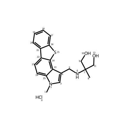 Cl.Cn1cc(CNC(C)(CO)CO)c2c3sc4ccccc4c3ccc21